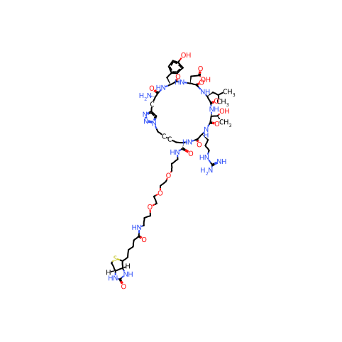 CC(C)C[C@@H]1NC(=O)[C@H](CC(=O)O)NC(=O)[C@H](Cc2ccc(O)cc2)NC(=O)[C@@H](N)Cc2cn(nn2)CCCC[C@@H](C(=O)NCCCOCCOCCOCCCNC(=O)CCCCC2SC[C@H]3NC(=O)N[C@@H]23)NC(=O)[C@H](CCCNC(=N)N)NC(=O)[C@H]([C@H](C)O)NC1=O